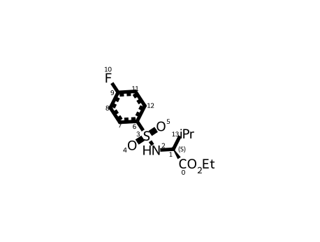 CCOC(=O)[C@@H](NS(=O)(=O)c1ccc(F)cc1)C(C)C